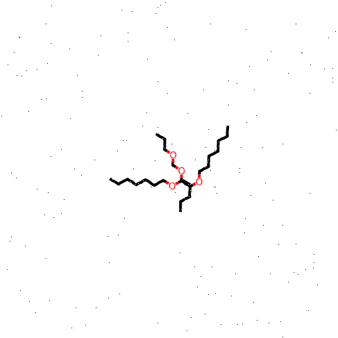 CCCCCCCOC(CCC)=C(OCCCCCCC)OCOCCC